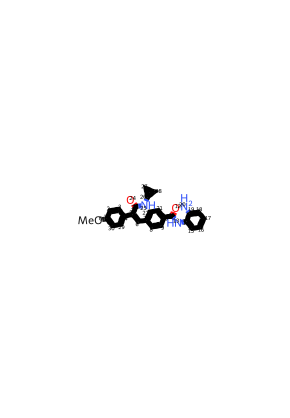 COc1ccc(C(=Cc2ccc(C(=O)Nc3ccccc3N)cc2)C(=O)NC2CC2)cc1